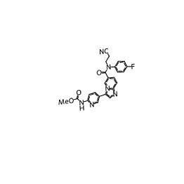 COC(=O)Nc1ccc(-c2cnc3ccc(C(=O)N(CCC#N)c4ccc(F)cc4)cn23)cn1